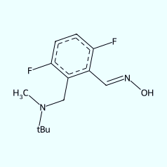 CN(Cc1c(F)ccc(F)c1/C=N/O)C(C)(C)C